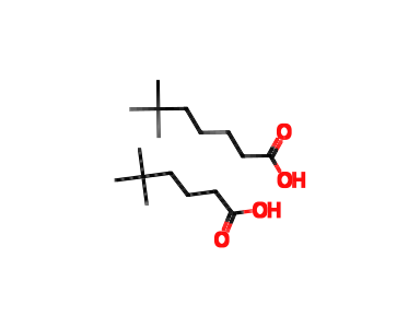 CC(C)(C)CCCC(=O)O.CC(C)(C)CCCCC(=O)O